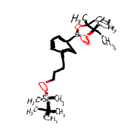 CC1(C)OB(c2cccc(CCCO[Si](C)(C)C(C)(C)C)c2)OC1(C)C